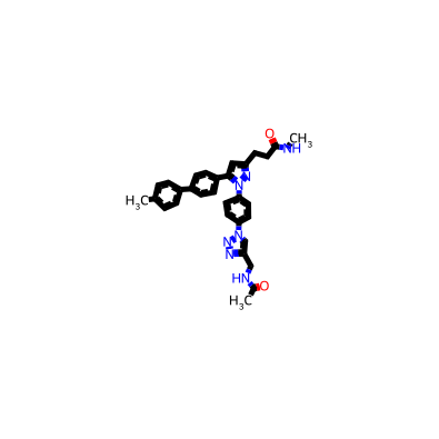 CNC(=O)CCc1cc(-c2ccc(-c3ccc(C)cc3)cc2)n(-c2ccc(-n3cc(CNC(C)=O)nn3)cc2)n1